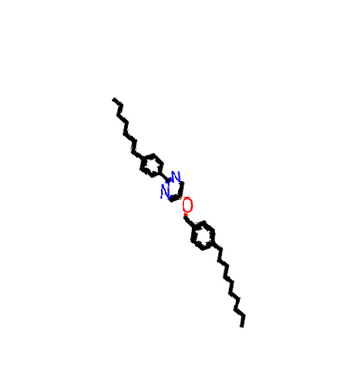 CCCCCCCCCCc1ccc(COc2cnc(-c3ccc(CCCCCCC)cc3)nc2)cc1